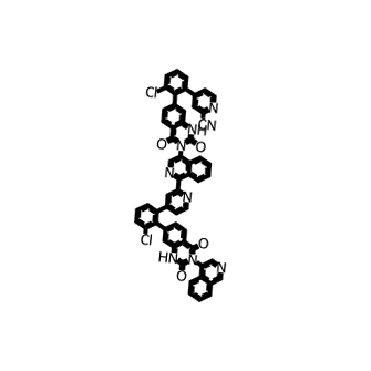 N#Cc1cc(-c2cccc(Cl)c2-c2ccc3c(=O)n(-c4cnc(-c5cc(-c6cccc(Cl)c6-c6ccc7c(=O)n(-c8cncc9ccccc89)c(=O)[nH]c7c6)ccn5)c5ccccc45)c(=O)[nH]c3c2)ccn1